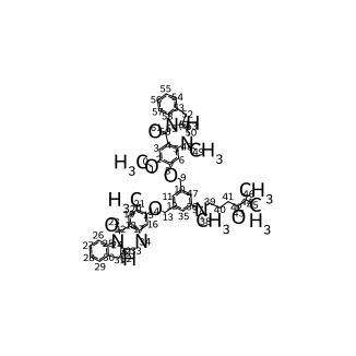 COc1cc2c(cc1OCc1cc(COc3cc4c(cc3C)C(=O)N3c5ccccc5C[C@H]3C=N4)cc(N(C)CCCC(=O)C(C)C)c1)N(C)C[C@@H]1Cc3ccccc3N1C2=O